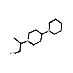 CC(CS)N1CCC(N2CCCCC2)CC1